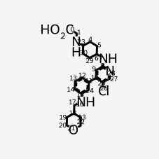 O=C(O)CNC1CCC(Nc2cc(-c3cccc(NCC4CCOCC4)c3)c(Cl)cn2)CC1